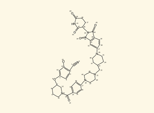 N#Cc1ccc(OC2CCCN(C(=O)c3ccc(N4CCN(CC5CCN(c6ccc7c(c6)C(=O)N(C6CCC(=O)NC6=O)C7=O)CC5)CC4)cc3)C2)cc1Cl